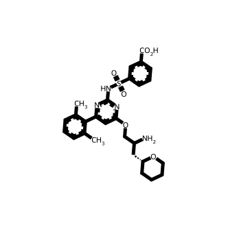 Cc1cccc(C)c1-c1cc(OCC(N)C[C@H]2CCCCO2)nc(NS(=O)(=O)c2cccc(C(=O)O)c2)n1